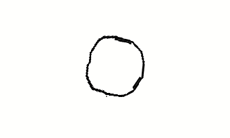 [CH]1CC=CCCC=CCCCCC1